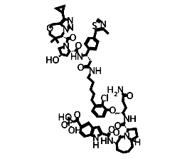 Cc1ncsc1-c1ccc([C@H](CC(=O)NCCCCCc2cccc(OC[C@H](CCC(N)=O)NC(=O)[C@@H]3CC[C@@H]4CCCC[C@H](NC(=O)c5cc6cc(C(=O)P(=O)(O)O)ccc6[nH]5)C(=O)N43)c2Cl)NC(=O)[C@@H]2C[C@@H](O)CN2C(=O)[C@H]2n3nnc(C4CC4)c3COCC2(C)C)cc1